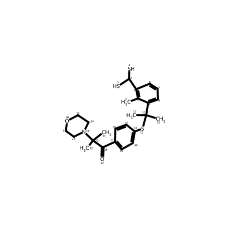 Cc1c(C(S)S)cccc1C(C)(C)Sc1ccc(C(=O)C(C)(C)N2CCOCC2)cc1